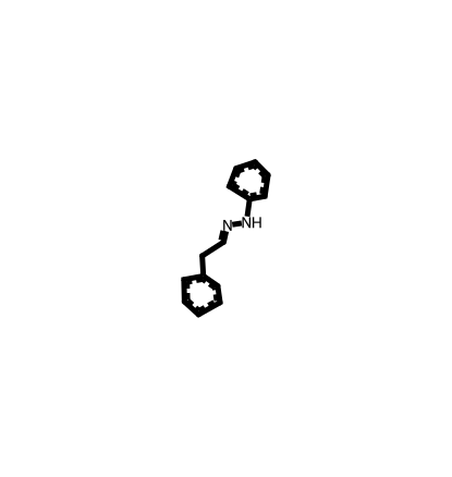 C(Cc1ccccc1)=NNc1ccccc1